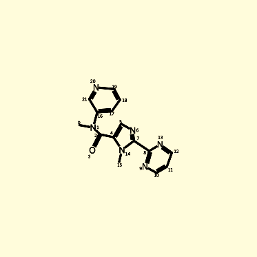 CN(C(=O)c1cnc(-c2ncccn2)n1C)c1cccnc1